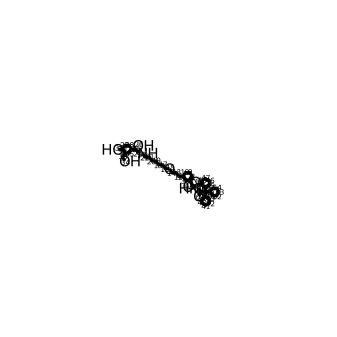 O=C(ONS(=O)(=O)c1cccc(CCCOCCCCCCCNC[C@@H](O)c2ccc(O)c(CO)c2)c1)C(c1ccccc1)(c1ccccc1)c1ccccc1